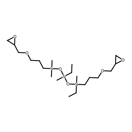 CC[Si](C)(CCCOCC1CO1)O[Si](C)(CC)O[Si](C)(C)CCCOCC1CO1